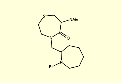 CCN1CCCCCC1CN1CCSCC(NC)C1=O